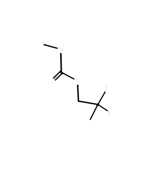 O=C(NI)NCC(F)(F)F